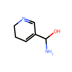 NC(O)C1=CCCN=C1